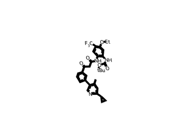 CCOc1cc(NC(=O)OC(C)(C)C)c(NC(=O)CC(=O)c2cccc(-c3cnc(C4CC4)cc3C)c2)cc1C(F)(F)F